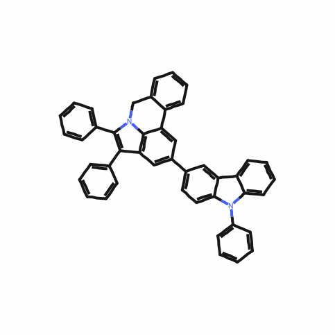 c1ccc(-c2c(-c3ccccc3)n3c4c(cc(-c5ccc6c(c5)c5ccccc5n6-c5ccccc5)cc24)-c2ccccc2C3)cc1